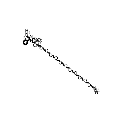 CCOCc1nc2c(N)nc3ccccc3c2n1CC(C)(C)OCCOCCOCCOCCOCCOCCOCCOCCOCCOCCOCCOCCN=[N+]=[N-]